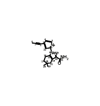 CC#Cc1ccnc(-n2nc(C(N)=O)c3c2CCC(C)(C)C3)c1